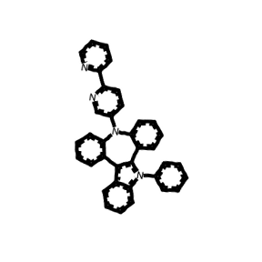 c1ccc(-n2c3c(c4ccccc42)-c2ccccc2N(c2ccc(-c4ccccn4)nc2)c2ccccc2-3)cc1